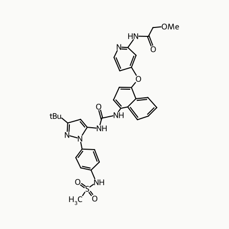 COCC(=O)Nc1cc(Oc2ccc(NC(=O)Nc3cc(C(C)(C)C)nn3-c3ccc(NS(C)(=O)=O)cc3)c3ccccc23)ccn1